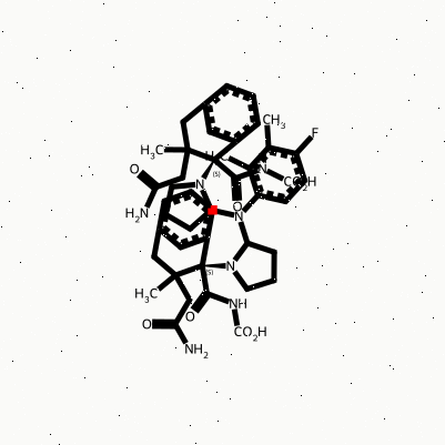 Cc1c(F)ccc(N(C2CCCN2[C@]2(C(=O)NC(=O)O)c3cccc(c3)CC2(C)CC(N)=O)C2CCCN2[C@]2(C(=O)NC(=O)O)c3cccc(c3)CC2(C)CC(N)=O)c1C